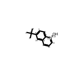 CC(C)(C)c1ccc2c(ccc[n+]2O)c1